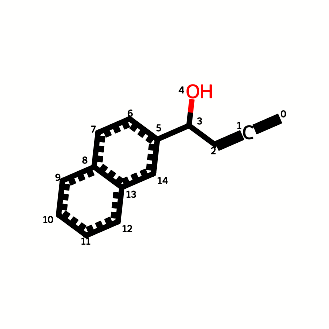 C=C=CC(O)c1ccc2ccccc2c1